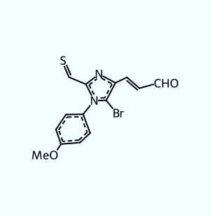 COc1ccc(-n2c(C=S)nc(C=CC=O)c2Br)cc1